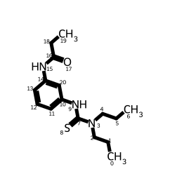 CCCN(CCC)C(=S)Nc1cccc(NC(=O)CC)c1